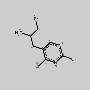 CC(CBr)Cc1cnc(Cl)nc1Cl